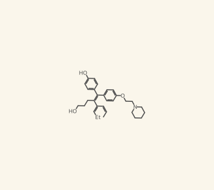 C\C=C/C(=C\CC)C(/CCCO)=C(/c1ccc(O)cc1)c1ccc(OCCN2CCCCC2)cc1